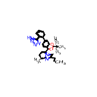 CCCc1cn2c(C(OC(=O)C(C)(C)C)c3ccc(-c4ccccc4-c4nnn[nH]4)cc3)ccc(C)c2n1